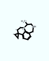 CC1CNCc2cccc3c2N1CCC31CC1